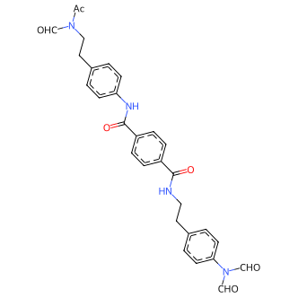 CC(=O)N(C=O)CCc1ccc(NC(=O)c2ccc(C(=O)NCCc3ccc(N(C=O)C=O)cc3)cc2)cc1